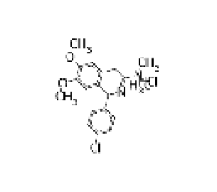 COc1cc2c(cc1OC)C(c1ccc(Cl)cc1)N=C(N(C)C)C2.Cl